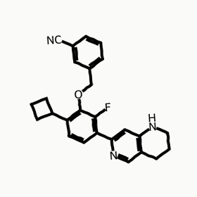 N#Cc1cccc(COc2c(C3CCC3)ccc(-c3cc4c(cn3)CCCN4)c2F)c1